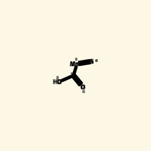 O=[C](O)[Mo]=[S]